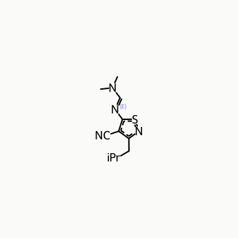 CC(C)Cc1nsc(/N=C/N(C)C)c1C#N